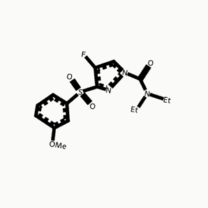 CCN(CC)C(=O)n1cc(F)c(S(=O)(=O)c2cccc(OC)c2)n1